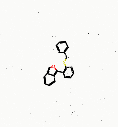 [c]1cccc(-c2occ3ccccc23)c1SCc1ccccc1